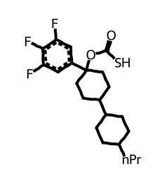 CCCC1CCC(C2CCC(OC(=O)S)(c3cc(F)c(F)c(F)c3)CC2)CC1